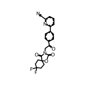 N#Cc1cccc(-c2ccc(C(=O)CN3C(=O)OC4(CCC(F)(F)CC4)C3=O)cc2)n1